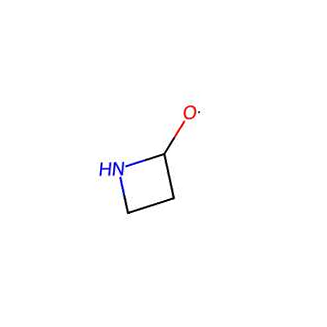 [O]C1CCN1